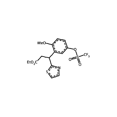 CCOC(=O)CC(c1nccs1)c1cc(OS(=O)(=O)C(F)(F)F)ccc1OC